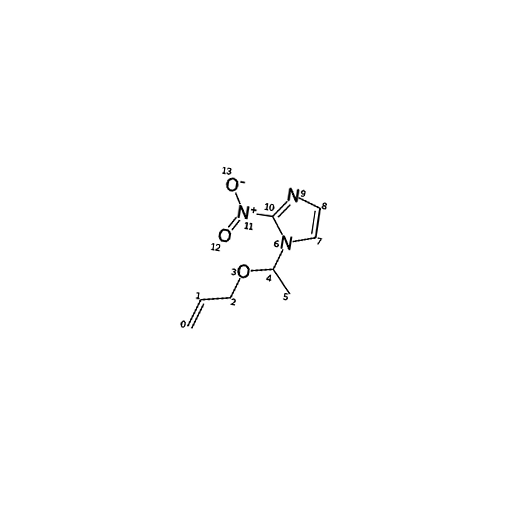 C=CCOC(C)n1ccnc1[N+](=O)[O-]